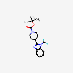 CC(C)(C)OC(=O)N1CCC(c2nc3ccccc3n2C(F)F)CC1